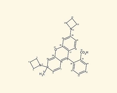 CC1(N2CCC2)C=CC2=C(c3ccccc3C(=O)O)c3ccc(N4CCC4)cc3OC2=C1